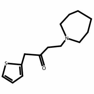 O=C(CCN1CCCCCC1)Cc1cccs1